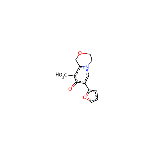 O=C(O)c1c2n(cc(-c3ccco3)c1=O)CCOC2